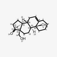 C[C@]12CCCCC1=CC[C@H]1[C@@H]3CCC(=O)[C@@]3(CO)CC[C@@H]12